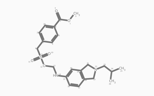 COC(=O)c1ccc(CS(=O)(=O)OCNc2ccc3c(c2)CN(C[C](C)C)C3)cc1